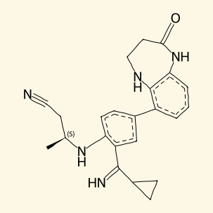 C[C@@H](CC#N)Nc1ccc(-c2cccc3c2NCCC(=O)N3)cc1C(=N)C1CC1